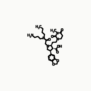 CCCCN(CCCN)C(=O)CN1C[C@H](c2ccc3c(c2)OCO3)[C@@H](C(=O)O)[C@@H]1CCN1CCC(=O)N(C)C1=O